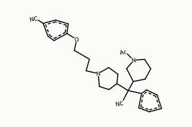 CC(=O)N1CCCC(C(C#N)(c2ccccc2)C2CCN(CCCOc3ccc(C#N)cc3)CC2)C1